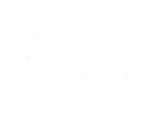 N#Cc1cc(N2CCC(C(=O)N3N=CCC3c3cc(F)cc(F)c3)CC2)ncn1